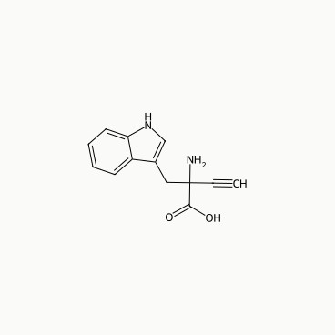 C#CC(N)(Cc1c[nH]c2ccccc12)C(=O)O